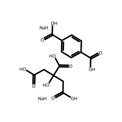 O=C(O)CC(O)(CC(=O)O)C(=O)O.O=C(O)c1ccc(C(=O)O)cc1.[NaH].[NaH]